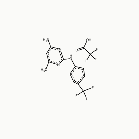 Cc1cc(N)nc(Nc2ccc(C(F)(F)F)cc2)n1.O=C(O)C(F)(F)F